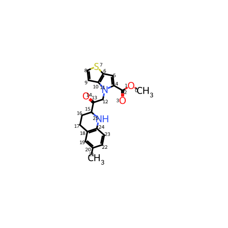 COC(=O)c1cc2sccc2n1CC(=O)C1CCc2cc(C)ccc2N1